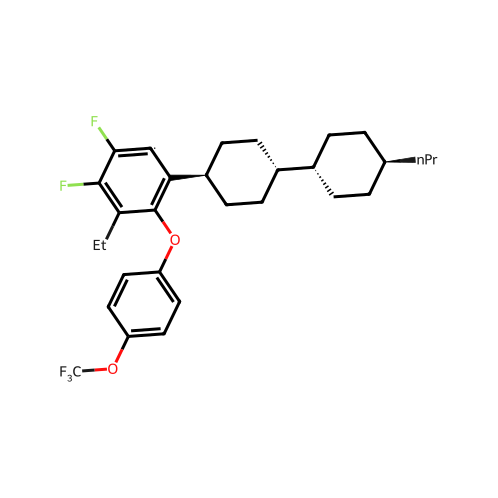 CCC[C@H]1CC[C@H]([C@H]2CC[C@H](c3[c]c(F)c(F)c(CC)c3Oc3ccc(OC(F)(F)F)cc3)CC2)CC1